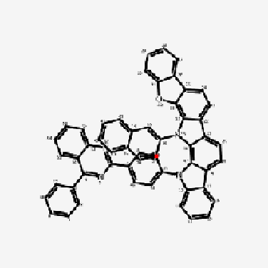 c1ccc(-c2nc(-c3ccc(-n4c5ccccc5c5ccc6c7ccc8c9ccccc9oc8c7n(-c7ccc8ccccc8c7)c6c54)cc3)nc3ccccc23)cc1